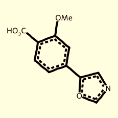 COc1cc(-c2cnco2)ccc1C(=O)O